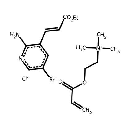 C=CC(=O)OCC[N+](C)(C)C.CCOC(=O)C=Cc1cc(Br)cnc1N.[Cl-]